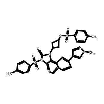 Cc1ccc(S(=O)(=O)OC2CC(n3c(=O)n(S(=O)(=O)c4ccc(C)cc4)c4ncc5ccc(-c6cnn(C)c6)cc5c43)C2)cc1